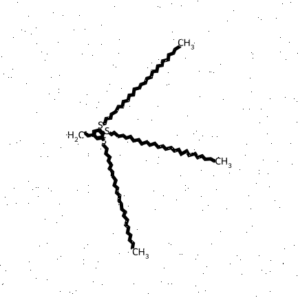 [CH2]CCc1cc(SCCCCCCCCCCCCCCCCCCCCCCCCCCCC)c(SCCCCCCCCCCCCCCCCCCCCCCCCCCCC)c(SCCCCCCCCCCCCCCCCCCCCCCCCCCCC)c1